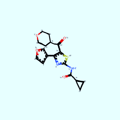 O=C(Nc1nc(-c2ccoc2)c(C(=O)C2CCOCC2)s1)C1CC1